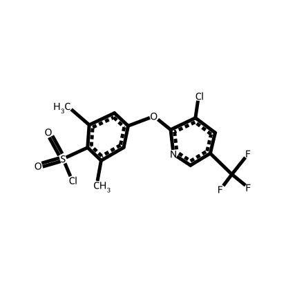 Cc1cc(Oc2ncc(C(F)(F)F)cc2Cl)cc(C)c1S(=O)(=O)Cl